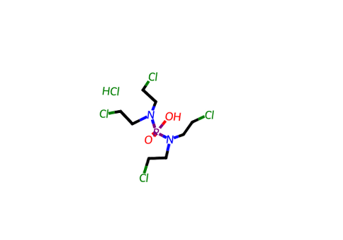 Cl.O=P(O)(N(CCCl)CCCl)N(CCCl)CCCl